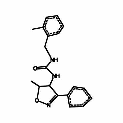 Cc1ccccc1CNC(=O)NC1C(c2ccccc2)=NOC1C